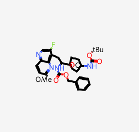 COc1ccc2ncc(F)c(CC(NC(=O)OCc3ccccc3)C34CCC(NC(=O)OC(C)(C)C)(CC3)CO4)c2n1